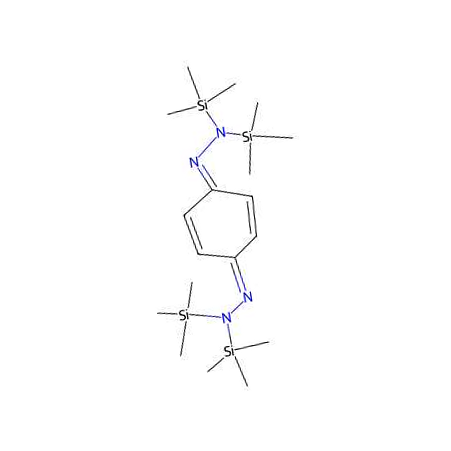 C[Si](C)(C)N(N=C1C=CC(=NN([Si](C)(C)C)[Si](C)(C)C)C=C1)[Si](C)(C)C